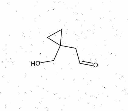 O=CCC1(CO)CC1